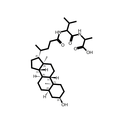 CC(NC(=O)C(NC(=O)CCC(C)[C@H]1CC[C@H]2[C@@H]3CC[C@@H]4C[C@H](O)CC[C@]4(C)[C@H]3CC[C@]12C)C(C)C)C(=O)O